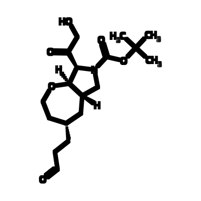 CC(C)(C)OC(=O)N1C[C@@H]2C[C@H](CCC=O)CCO[C@H]2[C@H]1C(=O)CO